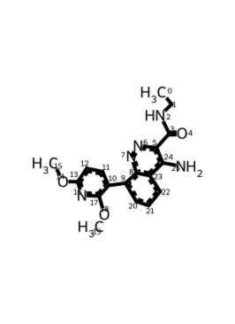 CCNC(=O)c1nnc2c(-c3ccc(OC)nc3OC)cccc2c1N